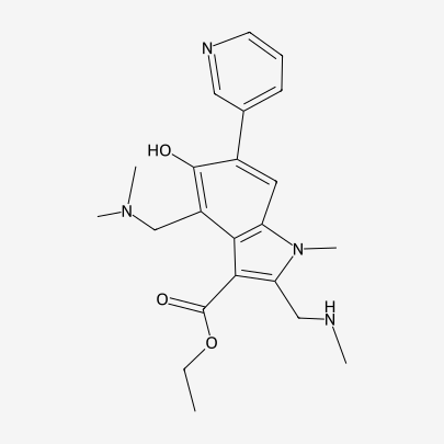 CCOC(=O)c1c(CNC)n(C)c2cc(-c3cccnc3)c(O)c(CN(C)C)c12